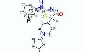 CC1(C2CCN(C3CCCC3)CC2)SC(N[C@H]2C[C@@H]3CCC2C3)=NC1=O